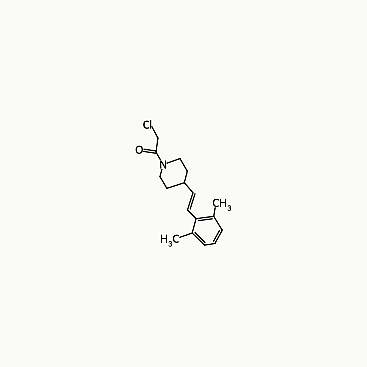 Cc1cccc(C)c1C=CC1CCN(C(=O)CCl)CC1